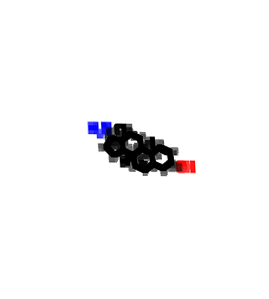 C[C@]12CC[C@H]3[C@@H](CCC4C[C@@H](O)C=C[C@@]43C)[C@@H]1CC[C@@H]2N